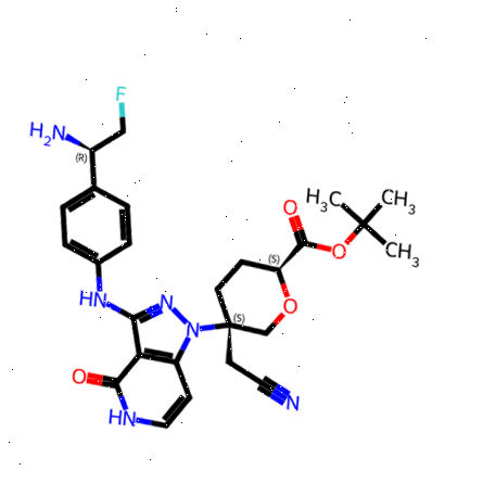 CC(C)(C)OC(=O)[C@@H]1CC[C@@](CC#N)(n2nc(Nc3ccc([C@@H](N)CF)cc3)c3c(=O)[nH]ccc32)CO1